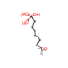 OC(O)(O)CCCCCCC1CO1